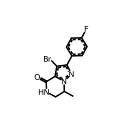 CC1CNC(=O)c2c(Br)c(-c3ccc(F)cc3)nn21